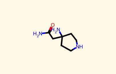 NC(=O)CC1(N)CCNCC1